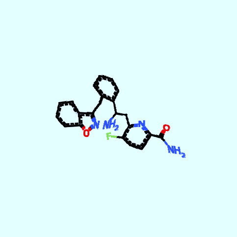 NC(=O)c1ccc(F)c(CC(N)c2ccccc2-c2noc3ccccc23)n1